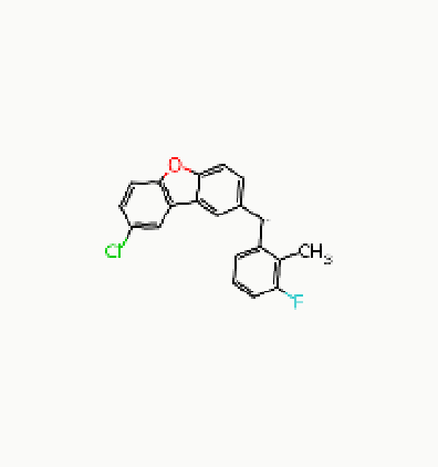 Cc1c(F)cccc1[CH]c1ccc2oc3ccc(Cl)cc3c2c1